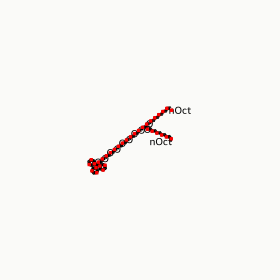 CCCCCCCC/C=C\CCCCCCCCOCC(COCCOCCOCCOCCOCCOCCOCCOC(c1ccccc1)(c1ccccc1)c1ccccc1)OCCCCCCCC/C=C\CCCCCCCC